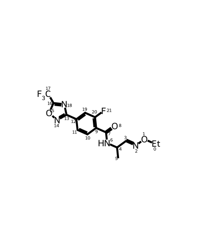 CCO/N=C/C(C)NC(=O)c1ccc(-c2noc(C(F)(F)F)n2)cc1F